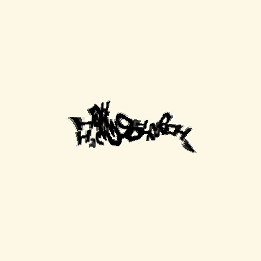 CN(c1ccc(-c2ccc(-c3ncn(C)c(=O)n3)cc2O)nn1)[C@H]1C[C@@H]2CC[C@@H](N2)[C@H]1F